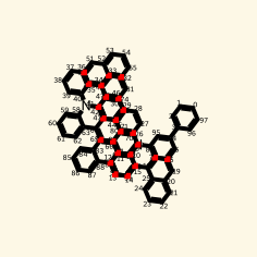 c1ccc(-c2cccc(N(c3ccccc3-c3cccc4ccccc34)c3ccc(-c4cccc(-c5ccccc5N(c5ccccc5-c5cccc6ccccc56)c5ccccc5-c5cc6ccccc6c6ccccc56)c4)cc3-c3cc4ccccc4c4ccccc34)c2)cc1